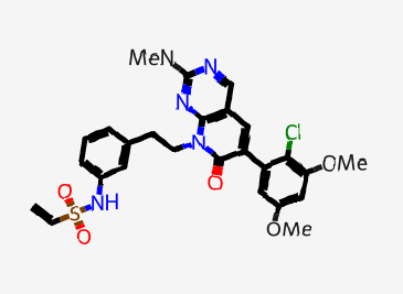 C=CS(=O)(=O)Nc1cccc(CCn2c(=O)c(-c3cc(OC)cc(OC)c3Cl)cc3cnc(NC)nc32)c1